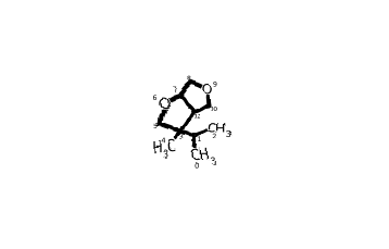 CC(C)C1(C)COC2COCC21